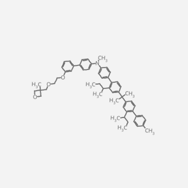 CCC(C)c1cc(C(C)(C)c2ccc(-c3ccc(N(C)c4ccc(-c5cccc(OCCOCC6(C)COC6)c5)cc4)cc3)c(C(C)CC)c2)ccc1-c1ccc(C)cc1